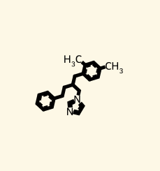 Cc1ccc(CC(CCc2ccccc2)Cn2ccnc2)c(C)c1